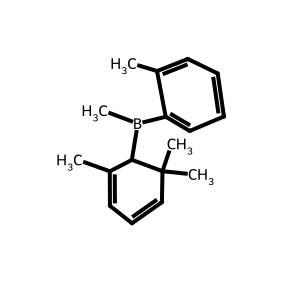 CB(c1ccccc1C)C1C(C)=CC=CC1(C)C